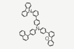 c1cc(-c2ccc(N(c3ccc(-c4cccc5ccccc45)cc3)c3ccc(-c4cccc5c4oc4ccccc45)cc3)cc2)cc(-n2c3ccccc3c3ccccc32)c1